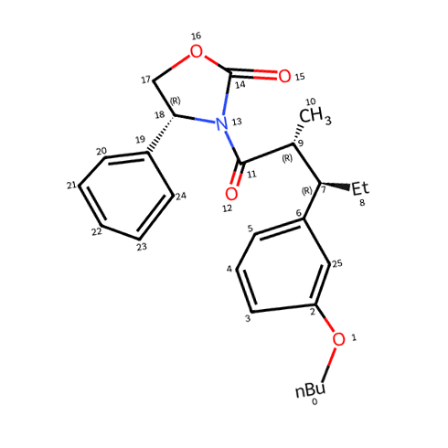 CCCCOc1cccc([C@H](CC)[C@@H](C)C(=O)N2C(=O)OC[C@H]2c2ccccc2)c1